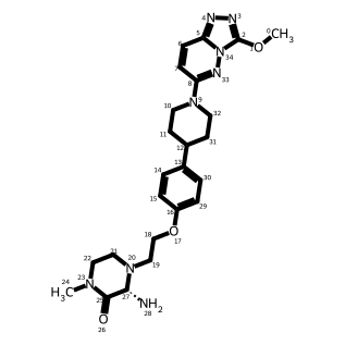 COc1nnc2ccc(N3CCC(c4ccc(OCCN5CCN(C)C(=O)[C@H]5N)cc4)CC3)nn12